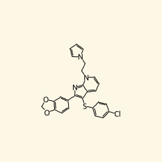 Clc1ccc(Sc2c3cccn(CCn4cccc4)c-3nc2-c2ccc3c(c2)OCO3)cc1